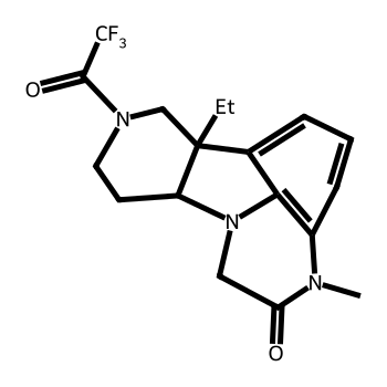 CCC12CN(C(=O)C(F)(F)F)CCC1N1CC(=O)N(C)c3cccc2c31